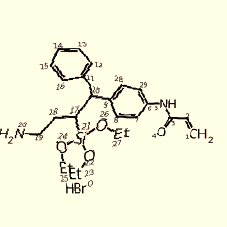 Br.C=CC(=O)Nc1ccc(C(c2ccccc2)C(CCN)[Si](OCC)(OCC)OCC)cc1